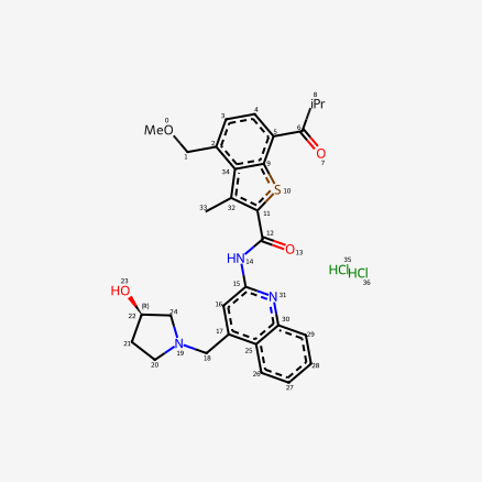 COCc1ccc(C(=O)C(C)C)c2sc(C(=O)Nc3cc(CN4CC[C@@H](O)C4)c4ccccc4n3)c(C)c12.Cl.Cl